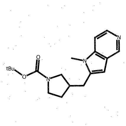 Cn1c(CC2CCN(C(=O)OC(C)(C)C)C2)cc2cnccc21